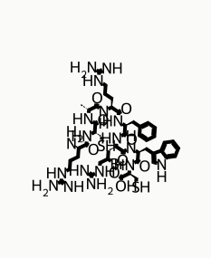 C[C@@H](NC(=O)[C@H](CS)NC(=O)[C@@H](N)CCCNC(=N)N)C(=O)N[C@@H](CCCNC(=N)N)C(=O)N[C@@H](Cc1ccccc1)C(=O)N[C@@H](CC(Br)CNC(=N)N)C(=O)N[C@@H](Cc1c[nH]c2ccccc12)C(=O)N[C@@H](CS)C(=O)O